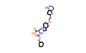 O=C(NC(Cn1ncc2cc(OCCc3ccc4c(n3)CCCN4)ccc21)C(=O)O)OCc1ccccc1